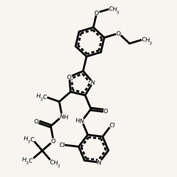 CCOc1cc(-c2nc(C(=O)Nc3c(Cl)cncc3Cl)c(C(C)NC(=O)OC(C)(C)C)o2)ccc1OC